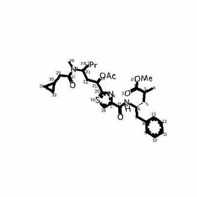 COC(=O)C(C)C[C@H](Cc1ccccc1)NC(=O)c1csc(C(CC(C(C)C)N(C)C(=O)CC2CC2)OC(C)=O)n1